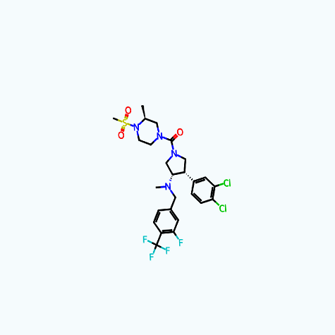 C[C@H]1CN(C(=O)N2C[C@H](c3ccc(Cl)c(Cl)c3)[C@H](N(C)Cc3ccc(C(F)(F)F)c(F)c3)C2)CCN1S(C)(=O)=O